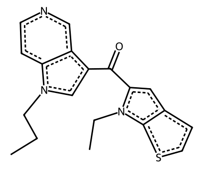 CCCn1cc(C(=O)c2cc3ccsc3n2CC)c2cnccc21